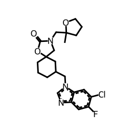 CC1(CN2CC3(CCCC(Cn4cnc5cc(F)c(Cl)cc54)C3)OC2=O)CCCO1